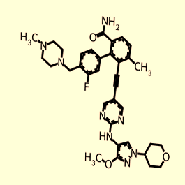 COc1nn(C2CCOCC2)cc1Nc1ncc(C#Cc2c(C)ccc(C(N)=O)c2-c2ccc(CN3CCN(C)CC3)c(F)c2)cn1